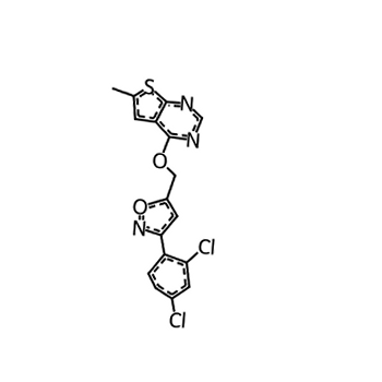 Cc1cc2c(OCc3cc(-c4ccc(Cl)cc4Cl)no3)ncnc2s1